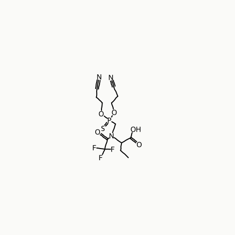 CCC(C(=O)O)N(CP(=S)(OCCC#N)OCCC#N)C(=O)C(F)(F)F